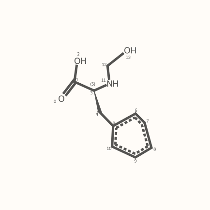 O=C(O)[C@H](Cc1ccccc1)NCO